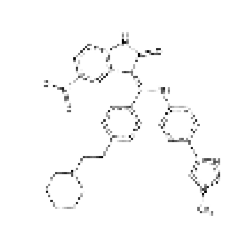 Cn1cnc(-c2ccc(N/C(=C3\C(=O)Nc4ccc([N+](=O)[O-])cc43)c3ccc(CCN4CCCCC4)cc3)cc2)c1